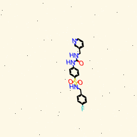 O=C(NCc1cccnc1)Nc1ccc(S(=O)(=O)NCc2ccc(F)cc2)cc1